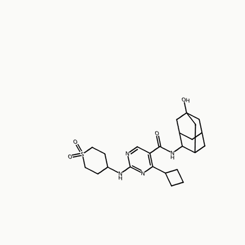 O=C(NC1C2CC3CC1CC(O)(C3)C2)c1cnc(NC2CCS(=O)(=O)CC2)nc1C1CCC1